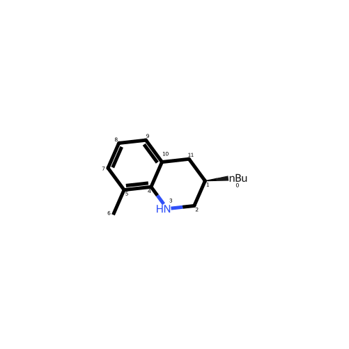 CCCC[C@H]1CNc2c(C)cccc2C1